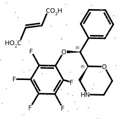 Fc1c(F)c(F)c(O[C@@H](c2ccccc2)[C@@H]2CNCCO2)c(F)c1F.O=C(O)C=CC(=O)O